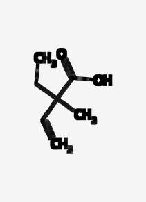 C=CC(C)(CC)C(=O)O